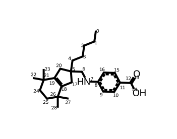 CCCCCC1(CNc2ccc(C(=O)O)cc2)CC2=C(C1)C(C)(C)CCC2(C)C